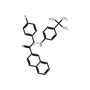 CC(C)(C)c1ccc(N[C@H](C(=O)c2ccc3ccccc3c2)c2ccc(F)cc2)cc1